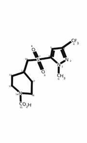 Cn1nc(C(F)(F)F)cc1S(=O)(=O)CC1CCN(C(=O)O)CC1